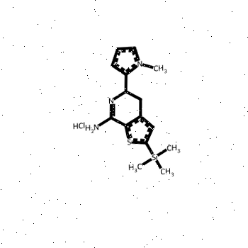 Cl.Cn1cccc1C1Cc2cc([Si](C)(C)C)sc2C(N)=N1